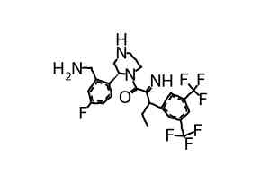 CCC(C(=N)C(=O)N1CCNC[C@@H]1c1ccc(F)cc1CN)c1cc(C(F)(F)F)cc(C(F)(F)F)c1